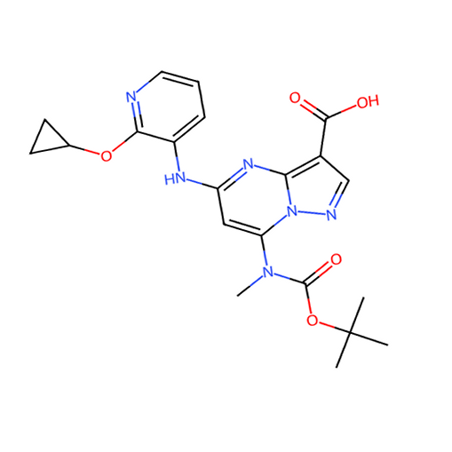 CN(C(=O)OC(C)(C)C)c1cc(Nc2cccnc2OC2CC2)nc2c(C(=O)O)cnn12